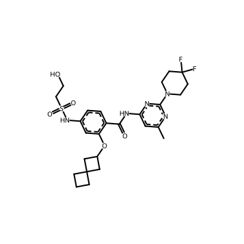 Cc1cc(NC(=O)c2ccc(NS(=O)(=O)CCO)cc2OC2CC3(CCC3)C2)nc(N2CCC(F)(F)CC2)n1